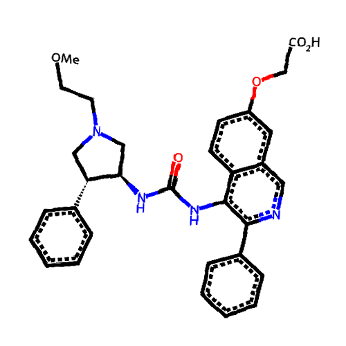 COCCN1C[C@@H](NC(=O)Nc2c(-c3ccccc3)ncc3cc(OCC(=O)O)ccc23)[C@H](c2ccccc2)C1